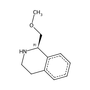 COC[C@@H]1NCCc2ccccc21